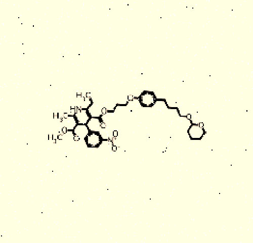 CCC1=C(C(=O)OCCCOc2ccc(CCCCOC3CCCCO3)cc2)C(c2cccc([N+](=O)[O-])c2)C(C(=O)OC)=C(C)N1